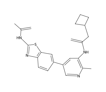 C=C(C)Nc1nc2ccc(-c3cnc(C)c(NC(=C)CC4CCC4)c3)cc2s1